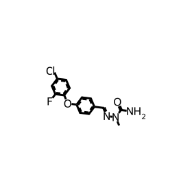 CN(N=Cc1ccc(Oc2ccc(Cl)cc2F)cc1)C(N)=O